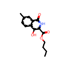 CCCCOC(=O)c1[nH]c(=O)c2cc(C)ccc2c1O